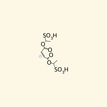 CC(OC(=O)/C=C\C(=O)OC(C)S(=O)(=O)O)S(=O)(=O)O